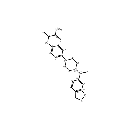 CNC(=O)[C@H](C)Oc1cnc(N2CCN([C@@H](C)c3ccc4c(c3)OCC4)CC2)nc1